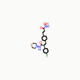 O=C(/C=C/c1ccc(/C=C(\C(=O)NN2CCSCC2)c2ccc(F)cc2)cc1)NO